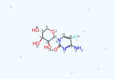 Nc1nc(=O)n([C@H]2OC[C@@H](O)[C@H](O)[C@@H]2O)cc1F